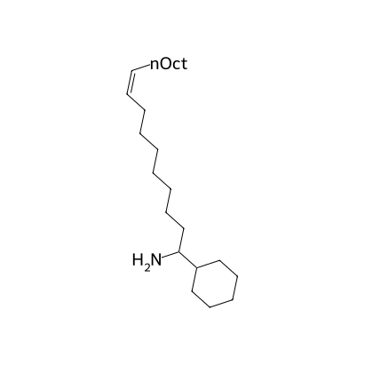 CCCCCCCC/C=C\CCCCCCCC(N)C1CCCCC1